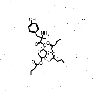 CCCC(=O)OC1CO[C@@H](OC(=O)C(C)(N)Cc2ccc(O)cc2)[C@H](OC(=O)CCC)[C@H]1OC(=O)CCC